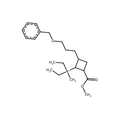 CC[N+](C)(CC)C1C(CCCOCc2ccccc2)CC1C(=O)OC